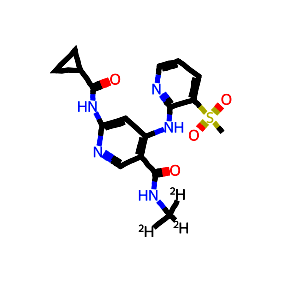 [2H]C([2H])([2H])NC(=O)c1cnc(NC(=O)C2CC2)cc1Nc1ncccc1S(C)(=O)=O